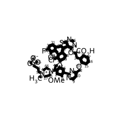 COc1ccccc1-c1nccc(COc2ccccc2C[C@@H](Oc2ncnc3sc4c5ccc(F)c(O)c5c5c(Cl)c(OCCN6CC[N+](C)(CCCS(=O)(=O)[O-])CC6)ccc5c4c23)C(=O)O)n1